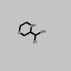 CCC(O)C1COCCN1